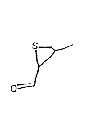 CC1SC1C=O